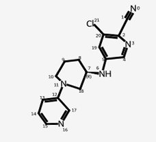 N#Cc1ncc(N[C@@H]2CCCN(c3cccnc3)C2)cc1Cl